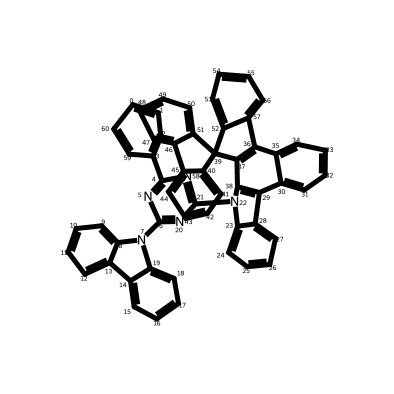 c1ccc(-c2nc(-n3c4ccccc4c4ccccc43)nc(-n3c4ccccc4c4c5ccccc5c5c(c43)C3(c4ccccc4-c4ccccc43)c3ccccc3-5)n2)cc1